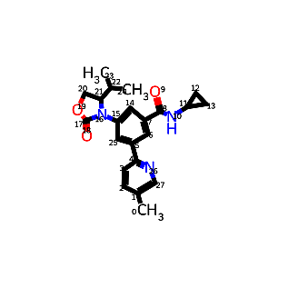 Cc1ccc(-c2cc(C(=O)NC3CC3)cc(N3C(=O)OCC3C(C)C)c2)nc1